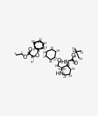 CCOC(=O)[C@@H](C)Oc1ccccc1[C@H]1CC[C@@H](OC[C@@H]2NCCC[C@@H]2NC(=O)OC(C)(C)C)CC1